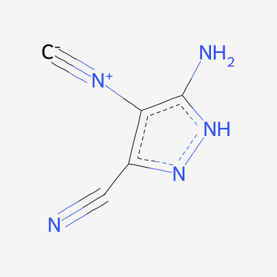 [C-]#[N+]c1c(C#N)n[nH]c1N